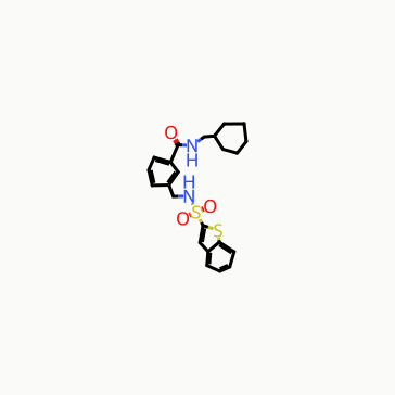 O=C(NCC1CCCCC1)c1cccc(CNS(=O)(=O)c2cc3ccccc3s2)c1